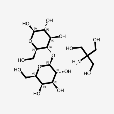 NC(CO)(CO)CO.OC[C@H]1O[C@@H](O[C@H]2[C@H](O)[C@@H](O)[C@H](O)O[C@@H]2CO)[C@H](O)[C@@H](O)[C@H]1O